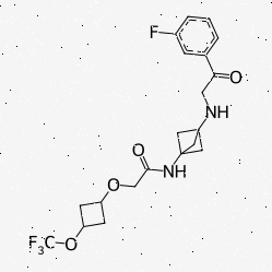 O=C(COC1CC(OC(F)(F)F)C1)NC12CC(NCC(=O)c3cccc(F)c3)(C1)C2